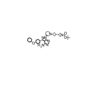 CC(C)(C)OC(=O)N1CC(C2CC(N3CCC[C@@H](n4nc(-c5ccc(Oc6ccccc6)cc5)c5c(N)ncnc54)C3)C2)C1